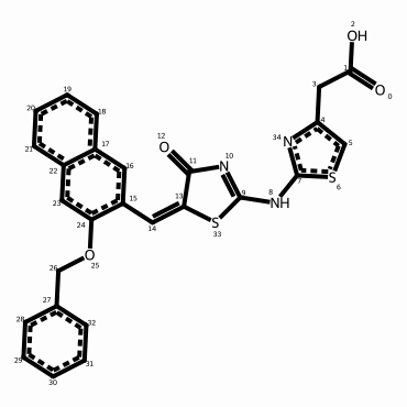 O=C(O)Cc1csc(NC2=NC(=O)/C(=C\c3cc4ccccc4cc3OCc3ccccc3)S2)n1